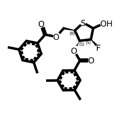 Cc1cc(C)cc(C(=O)OC[C@H]2SC(O)[C@@H](F)[C@@H]2OC(=O)c2cc(C)cc(C)c2)c1